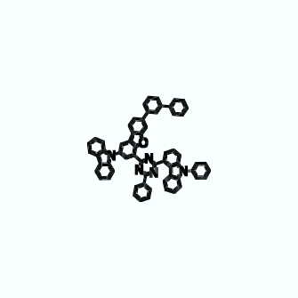 c1ccc(-c2cccc(-c3ccc4c(c3)oc3c(-c5nc(-c6ccccc6)nc(-c6cccc7c6c6ccccc6n7-c6ccccc6)n5)cc(-n5c6ccccc6c6ccccc65)cc34)c2)cc1